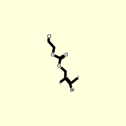 O=C(OCCCl)OCC(I)=C(Br)I